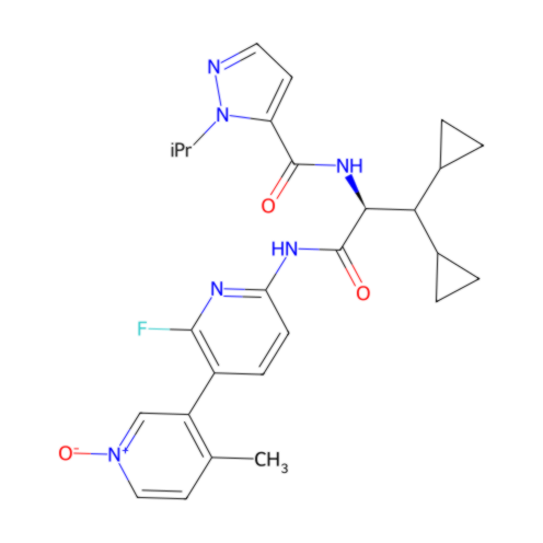 Cc1cc[n+]([O-])cc1-c1ccc(NC(=O)[C@@H](NC(=O)c2ccnn2C(C)C)C(C2CC2)C2CC2)nc1F